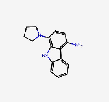 Nc1ccc(N2CCCC2)c2[nH]c3ccccc3c12